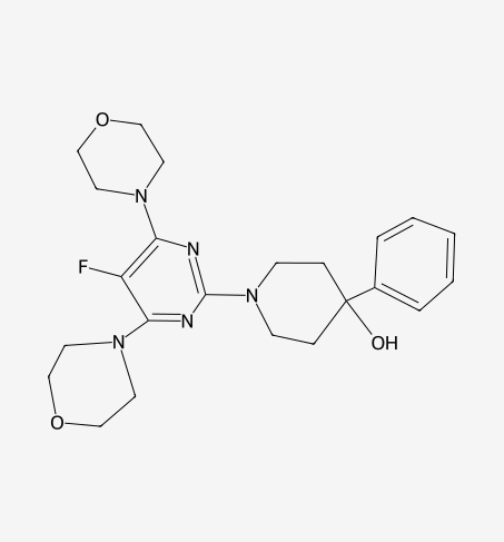 OC1(c2ccccc2)CCN(c2nc(N3CCOCC3)c(F)c(N3CCOCC3)n2)CC1